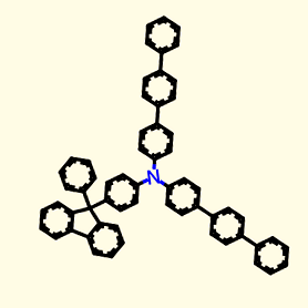 c1ccc(-c2ccc(-c3ccc(N(c4ccc(-c5ccc(-c6ccccc6)cc5)cc4)c4ccc(C5(c6ccccc6)c6ccccc6-c6ccccc65)cc4)cc3)cc2)cc1